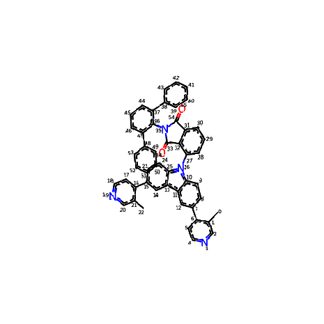 Cc1cnccc1-c1ccc2c(c1)c1cc(-c3ccncc3C)ccc1n2-c1cccc2c1C(=O)N(c1c(-c3ccccc3)cccc1-c1ccccc1)C2=O